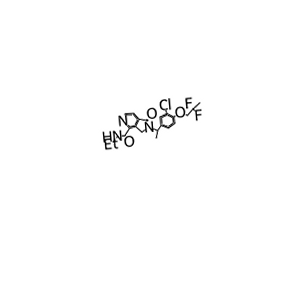 CCNC(=O)c1nccc2c1CN(C(C)c1ccc(OCC(C)(F)F)c(Cl)c1)C2=O